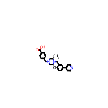 C[C@@H]1CN(Cc2ccc(C(=O)O)cc2)C[C@H](C)N1Cc1cccc(-c2ccncc2)c1